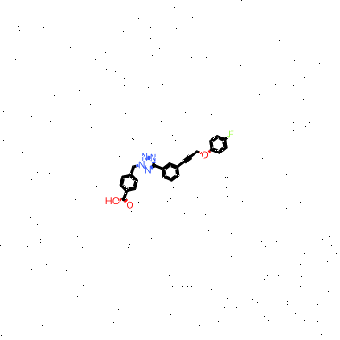 O=C(O)c1ccc(Cn2nnc(-c3cccc(C#CCOc4ccc(F)cc4)c3)n2)cc1